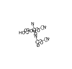 COc1ccc(C#N)c2cc(C3CCN(C)CC3)oc12.COc1ccc(C#N)c2cc(C3CCN(C)CC3)oc12.O=C(O)/C=C\C(=O)O